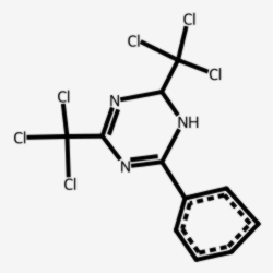 ClC(Cl)(Cl)C1=NC(C(Cl)(Cl)Cl)NC(c2ccccc2)=N1